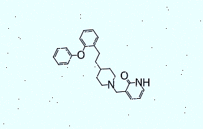 O=c1[nH]cccc1CN1CCC(CCc2ccccc2Oc2ccccc2)CC1